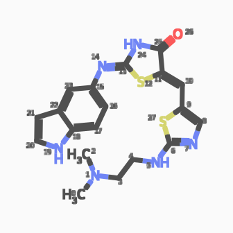 CN(C)CCNc1ncc(C=C2SC(=Nc3ccc4[nH]ccc4c3)NC2=O)s1